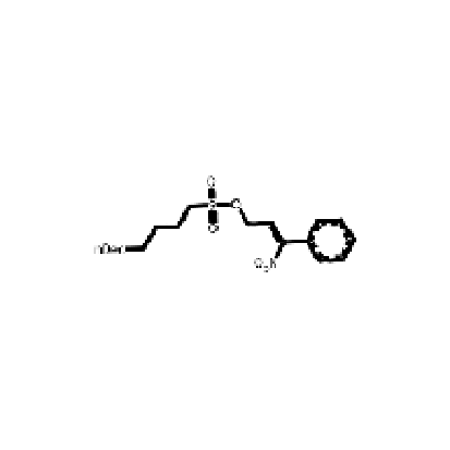 CCCCCCCCCCCCCCS(=O)(=O)OC/C=C(/c1ccccc1)[N+](=O)[O-]